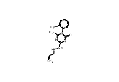 C=CCNNc1nc(C)n(-c2ccccc2C)c(=O)n1